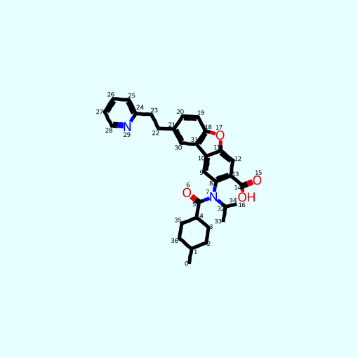 CC1CCC(C(=O)N(c2cc3c(cc2C(=O)O)oc2ccc(CCc4ccccn4)cc23)C(C)C)CC1